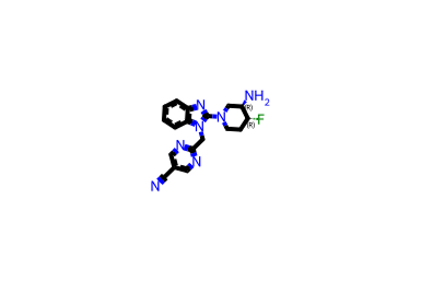 N#Cc1cnc(Cn2c(N3CC[C@@H](F)[C@H](N)C3)nc3ccccc32)nc1